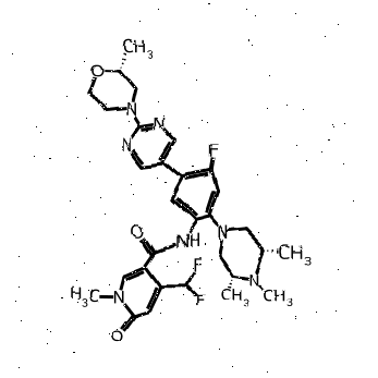 C[C@@H]1CN(c2ncc(-c3cc(NC(=O)c4cn(C)c(=O)cc4C(F)F)c(N4C[C@@H](C)N(C)[C@@H](C)C4)cc3F)cn2)CCO1